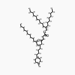 CCCCCCCCCCC(O)CN(CCCCC(=O)OCC(CCCCCCCC)CCCCCCCCCC)CCCCN1CCN(C)CC1